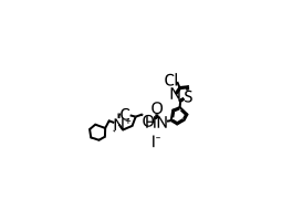 C[N+]1(CC2CCCCC2)CCC(COC(=O)Nc2cccc(-c3nc(Cl)cs3)c2)CC1.[I-]